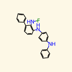 FNc1c(Nc2ccc(Nc3ccccc3)cc2)cccc1-c1ccccc1